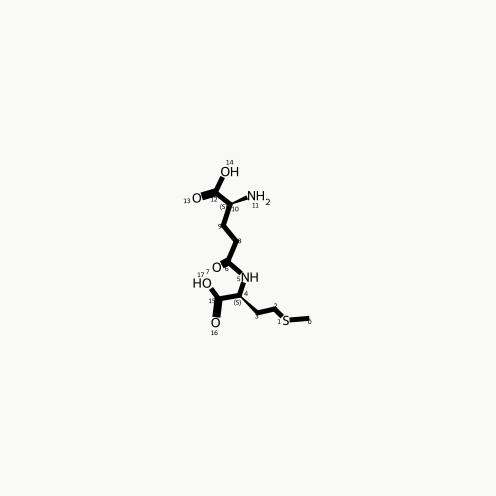 CSCC[C@H](NC(=O)CC[C@H](N)C(=O)O)C(=O)O